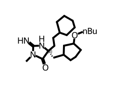 CCCCOC1CCCC(C[C@@]2(CCC3CCCCC3)NC(=N)N(C)C2=O)C1